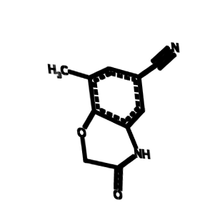 Cc1cc(C#N)cc2c1OCC(=O)N2